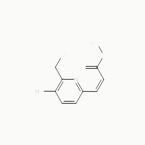 COC(=O)/C=C\c1ccc(O)c(CO)n1